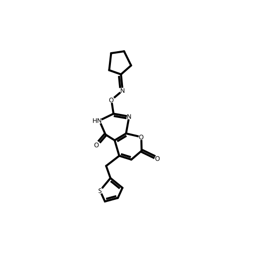 O=c1cc(Cc2cccs2)c2c(=O)[nH]c(ON=C3CCCC3)nc2o1